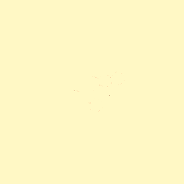 CO/N=C(/C)CC(c1ccccc1)c1c(O)c2ccccc2oc1=O